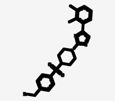 Cc1cccc(-c2csc(N3CCC(S(=O)(=O)c4ccc(CBr)cc4)CC3)n2)c1C